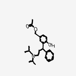 CC(=O)OCc1ccc(O)c(C(CCN(C(C)C)C(C)C)c2ccccc2)c1